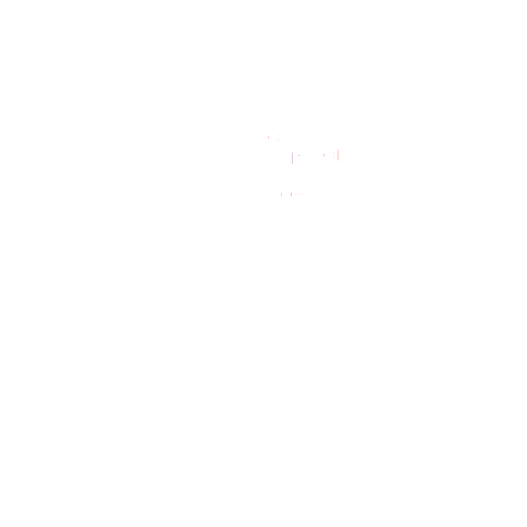 CCCCCCCCCCCCC(OP(O)O)c1ccccc1